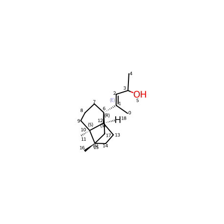 C/C(=C\C(C)O)[C@@]12CCC[C@@]3(C)[C@@H]1CC[C@@]3(C)C2